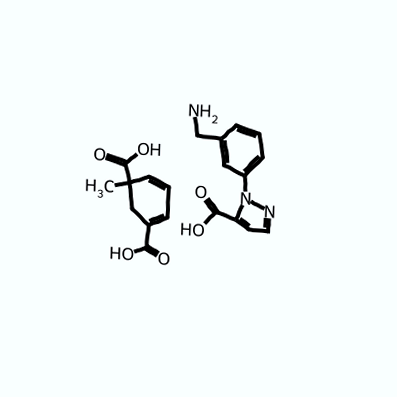 CC1(C(=O)O)C=CC=C(C(=O)O)C1.NCc1cccc(-n2nccc2C(=O)O)c1